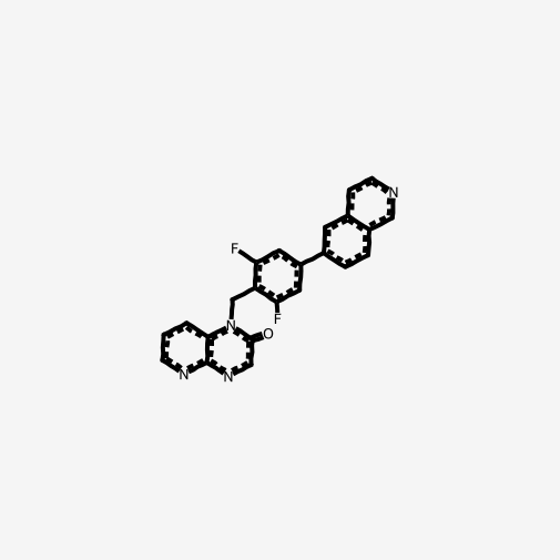 O=c1cnc2ncccc2n1Cc1c(F)cc(-c2ccc3cnccc3c2)cc1F